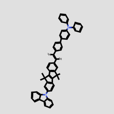 [2H]/C(=C(/[2H])c1ccc2c(c1)C(C)(C)C1=C2C(C)(C)c2cc(-n3c4ccccc4c4ccccc43)ccc21)c1ccc(-c2ccc(N(c3ccccc3)c3ccccc3)cc2)cc1